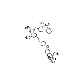 CCCc1nc2c(C)cc(CSc3ccc(Oc4ccc([N+](=O)[O-])c(N(C)C(=O)OC(C)(C)C)c4)cc3)cc2n1Cc1ccc(-c2ccccc2C(=O)OC(C)(C)C)cc1